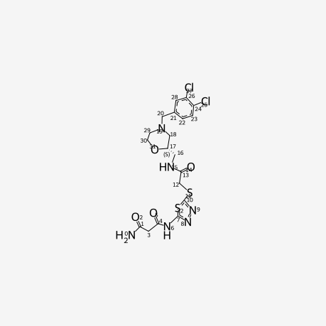 NC(=O)CC(=O)Nc1nnc(SCC(=O)NC[C@H]2CN(Cc3ccc(Cl)c(Cl)c3)CCO2)s1